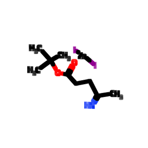 CC(=N)CCC(=O)OC(C)(C)C.[I][Zn][I]